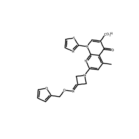 Cc1cc(N2CC(=NOCc3ccco3)C2)nc2c1c(=O)c(C(=O)O)cn2-c1nccs1